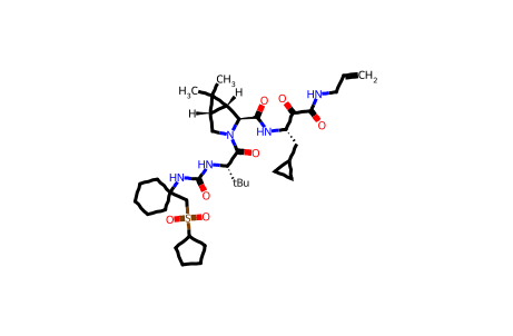 C=CCNC(=O)C(=O)[C@H](CC1CC1)NC(=O)[C@@H]1[C@@H]2[C@H](CN1C(=O)[C@@H](NC(=O)NC1(CS(=O)(=O)C3CCCC3)CCCCC1)C(C)(C)C)C2(C)C